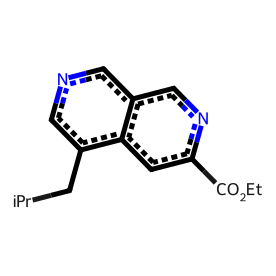 CCOC(=O)c1cc2c(CC(C)C)cncc2cn1